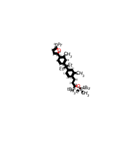 CCCc1ccc(-c2ccc(C(CC)(CC)c3ccc(CCC(O[Si](C)(C)C(C)(C)C)C(C)(C)C)c(C)c3)cc2C)o1